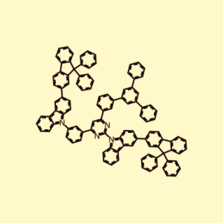 c1ccc(-c2cc(-c3ccccc3)cc(-c3cccc(-c4cc(-c5cccc(-n6c7ccccc7c7cc(-c8ccc9c(c8)C(c8ccccc8)(c8ccccc8)c8ccccc8-9)ccc76)c5)nc(-n5c6ccccc6c6cc(-c7ccc8c(c7)C(c7ccccc7)(c7ccccc7)c7ccccc7-8)ccc65)n4)c3)c2)cc1